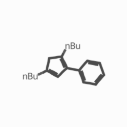 CCCCC1=CC(c2ccccc2)=C(CCCC)C1